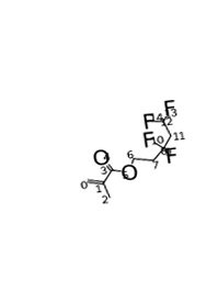 C=C(C)C(=O)OCCC(F)(F)CC(F)F